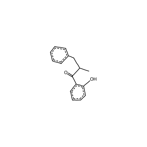 CC(Cc1ccccc1)C(=O)c1ccccc1O